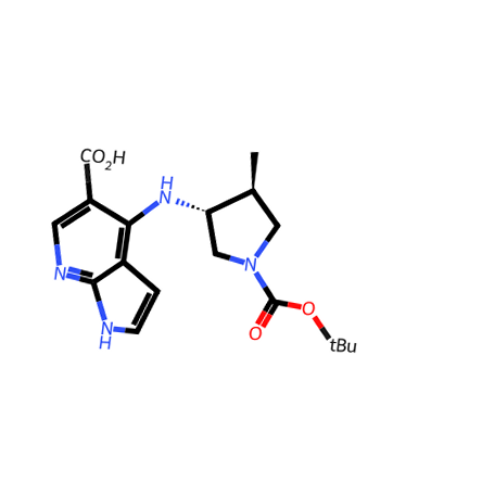 C[C@H]1CN(C(=O)OC(C)(C)C)C[C@@H]1Nc1c(C(=O)O)cnc2[nH]ccc12